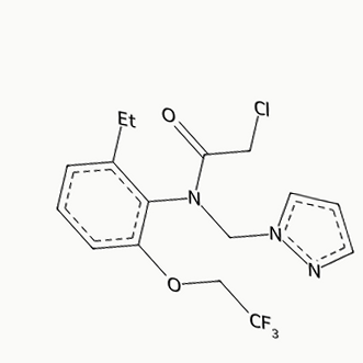 CCc1cccc(OCC(F)(F)F)c1N(Cn1cccn1)C(=O)CCl